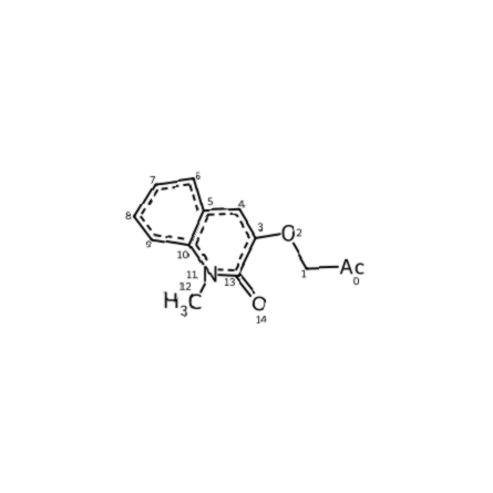 CC(=O)COc1cc2ccccc2n(C)c1=O